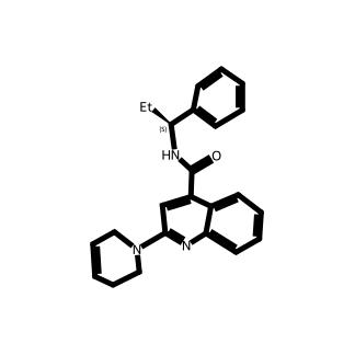 CC[C@H](NC(=O)c1cc(N2CC=CCC2)nc2ccccc12)c1ccccc1